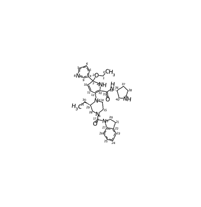 CCOC1(c2cccnc2)C=CC(N2CCN(C(=O)N3CCc4ccccc43)C[C@H]2CC)=C(C(=O)N[C@@H]2CCNC2)N1